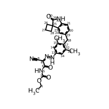 CCOC(=O)NC(=O)C(C#N)=NNc1cc(C)c(Cc2ccc3c(c2)C2(CCC2)C(=O)N3)c(C)c1